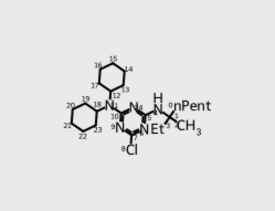 CCCCCC(C)(CC)Nc1nc(Cl)nc(N(C2CCCCC2)C2CCCCC2)n1